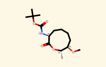 CO[C@@H]1CCCC[C@H](NC(=O)OC(C)(C)C)C(=O)O[C@H]1C